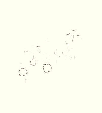 CC(C)(C)C(c1cc(-c2cc(F)ccc2F)cn1Cc1ccccc1)N(CCC(N)C(=O)N[C@@H](CNC(=O)CN1C(=O)C=CC1=O)C(=O)O)C(=O)CO